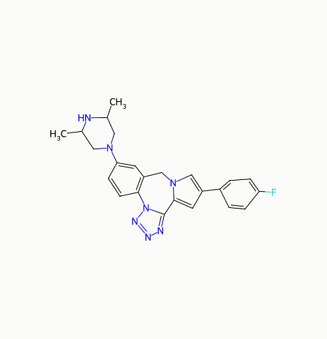 CC1CN(c2ccc3c(c2)Cn2cc(-c4ccc(F)cc4)cc2-c2nnnn2-3)CC(C)N1